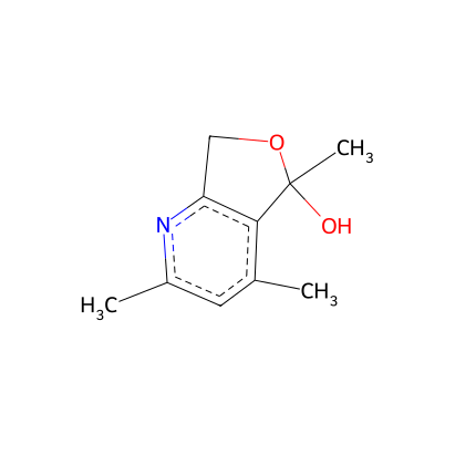 Cc1cc(C)c2c(n1)COC2(C)O